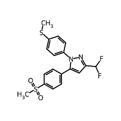 CSc1ccc(-n2nc(C(F)F)cc2-c2ccc(S(C)(=O)=O)cc2)cc1